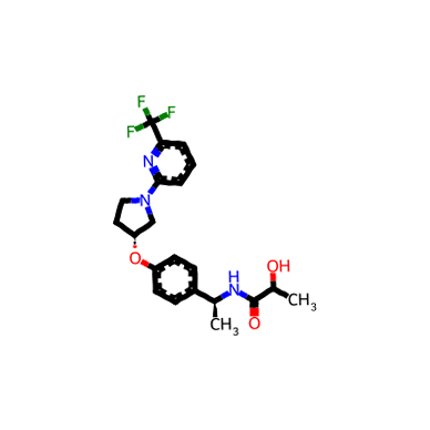 CC(O)C(=O)N[C@@H](C)c1ccc(O[C@@H]2CCN(c3cccc(C(F)(F)F)n3)C2)cc1